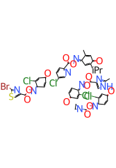 CC1=CC(=O)C(C(C)C)=CC1=NOC(=O)c1ccc(Cl)cn1.Cc1nc(C(=O)ON=C2C=CC(=O)C=C2Cl)c[nH]1.O=C1C=CC(=NOC(=O)N2CC2)C(Cl)=C1.O=C1C=CC(=NOC(=O)c2csc(Br)n2)C(Cl)=C1